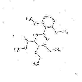 CCOP(OCC)C(NC(=O)c1c(OC)cccc1OC)C(=O)OC